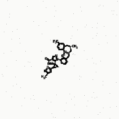 COC(=O)c1cnn(-c2cccc(CN3C[C@@H](C)Cc4cc(C(F)(F)F)ccc4[S+]3[O-])c2)c1[C@@H]1CC1c1cc(C)no1